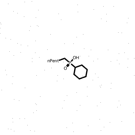 CCCCCCP(=O)(O)C1CCCCC1